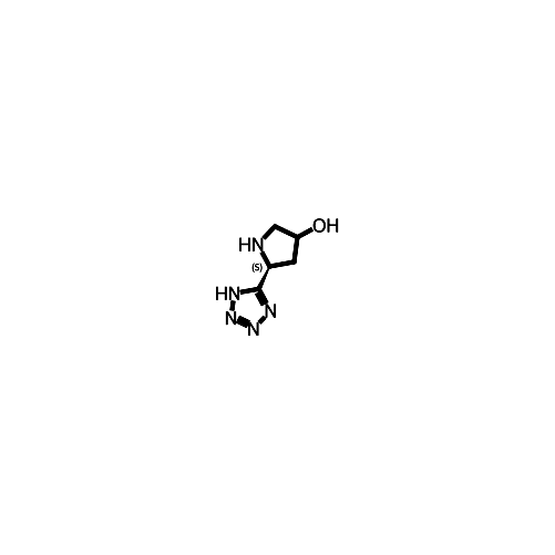 OC1CN[C@H](c2nnn[nH]2)C1